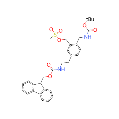 CC(C)(C)OC(=O)NCc1ccc(CCNC(=O)OCC2c3ccccc3-c3ccccc32)cc1COS(C)(=O)=O